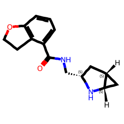 O=C(NC[C@@H]1C[C@@H]2C[C@@H]2N1)c1cccc2c1CCO2